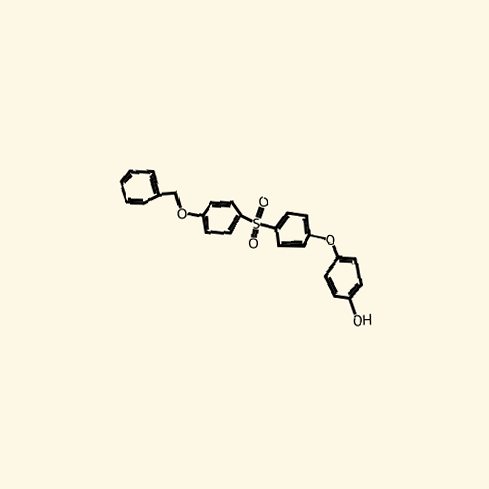 O=S(=O)(c1ccc(OCc2ccccc2)cc1)c1ccc(Oc2ccc(O)cc2)cc1